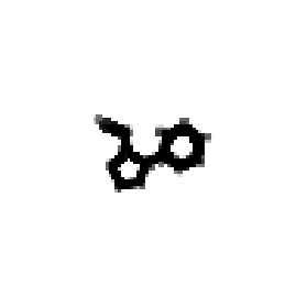 O=CN1CCCC1c1ccccc1